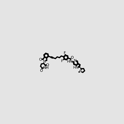 CN1CCC[C@@H]1c1cc2cnc(NC(=O)c3cc(F)c(CCCCC#Cc4cccc5c4CN(C4CCC(=O)NC4=O)C5=O)c(F)c3)cc2[nH]1